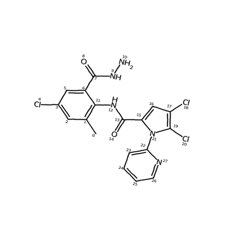 Cc1cc(Cl)cc(C(=O)NN)c1NC(=O)c1cc(Cl)c(Cl)n1-c1ccccn1